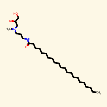 CCCCCCCCCCCCCCCCCCCCCC(=O)NCCCN(C)CC(O)CO